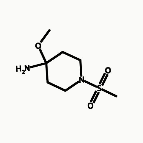 COC1(N)CCN(S(C)(=O)=O)CC1